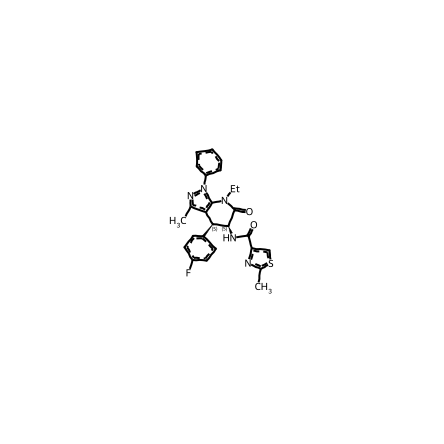 CCN1C(=O)[C@@H](NC(=O)c2csc(C)n2)[C@@H](c2ccc(F)cc2)c2c(C)nn(-c3ccccc3)c21